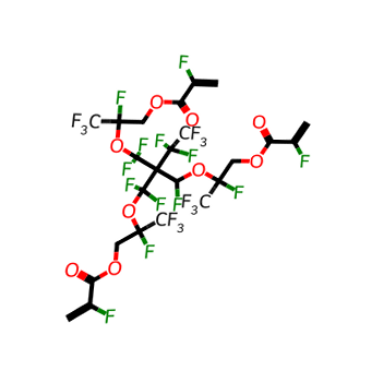 C=C(F)C(=O)OCC(F)(OC(F)C(C(F)(F)OC(F)(COC(=O)C(=C)F)C(F)(F)F)(C(F)(F)OC(F)(COC(=O)C(=C)F)C(F)(F)F)C(F)(F)C(F)(F)F)C(F)(F)F